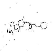 CNC1=Nc2cc(CNCCC3=CCCCC3)c(C)cc2C12CCC2